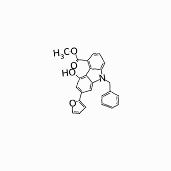 COC(=O)c1cccc2c1c1c(O)cc(-c3ccco3)cc1n2Cc1ccccc1